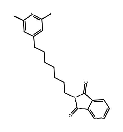 Cc1cc(CCCCCCCN2C(=O)c3ccccc3C2=O)cc(C)n1